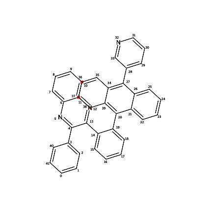 c1ccc(-c2nc3ccccc3nc2-c2ccccc2-c2c3ccccc3c(-c3cccnc3)c3ccccc23)cc1